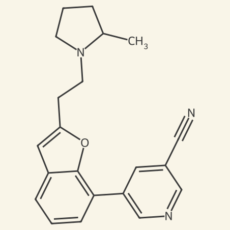 CC1CCCN1CCc1cc2cccc(-c3cncc(C#N)c3)c2o1